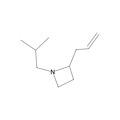 C=CCC1CCN1CC(C)C